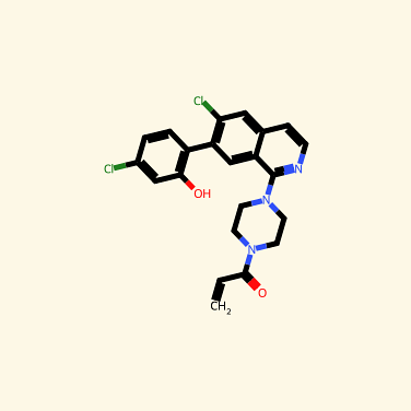 C=CC(=O)N1CCN(c2nccc3cc(Cl)c(-c4ccc(Cl)cc4O)cc23)CC1